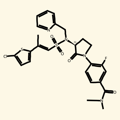 CC(=CS(=O)(=O)N(Cc1ccccn1)[C@H]1CCN(c2ccc(C(=O)N(C)C)cc2F)C1=O)c1ccc(Cl)s1